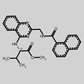 COC(=O)[C@@H](Nc1nc(CNC(=O)c2cccc3ccccc23)nc2ccccc12)C(C)C